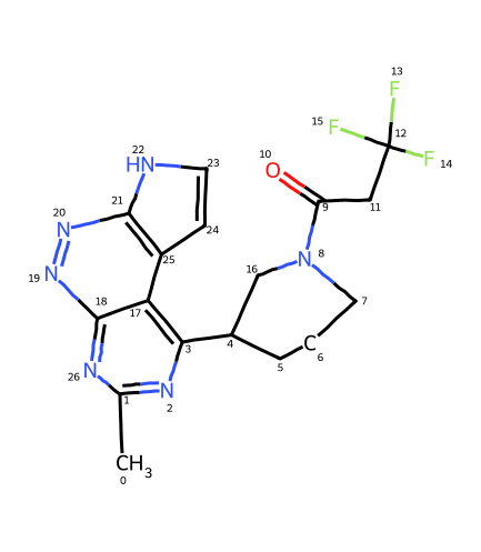 Cc1nc(C2CCCN(C(=O)CC(F)(F)F)C2)c2c(nnc3[nH]ccc32)n1